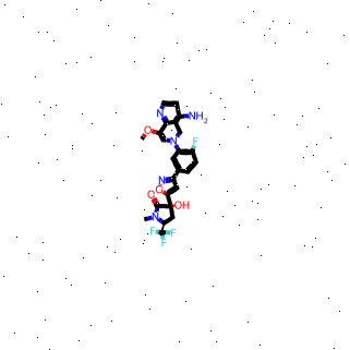 COC1=CN(c2cc(-c3cc([C@]4(O)C[C@@H](C(F)(F)F)N(C)C4=O)on3)ccc2F)Cc2c(N)ccnc21